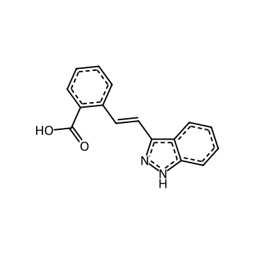 O=C(O)c1ccccc1/C=C/c1n[nH]c2ccccc12